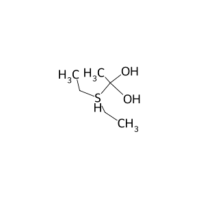 CC[SH](CC)C(C)(O)O